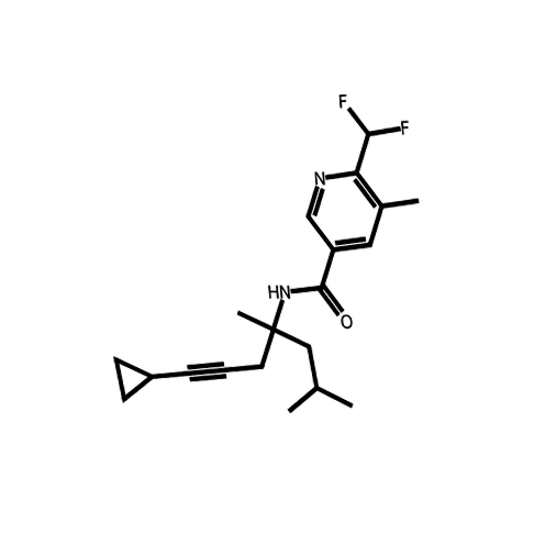 Cc1cc(C(=O)NC(C)(CC#CC2CC2)CC(C)C)cnc1C(F)F